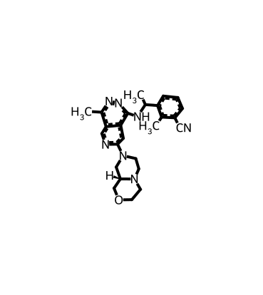 Cc1c(C#N)cccc1C(C)Nc1nnc(C)c2cnc(N3CCN4CCOC[C@@H]4C3)cc12